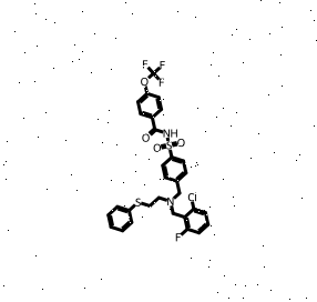 O=C(NS(=O)(=O)c1ccc(CN(CCSc2ccccc2)Cc2c(F)cccc2Cl)cc1)c1ccc(OC(F)(F)F)cc1